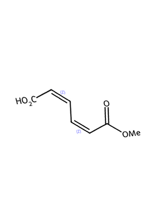 COC(=O)/C=C\C=C/C(=O)O